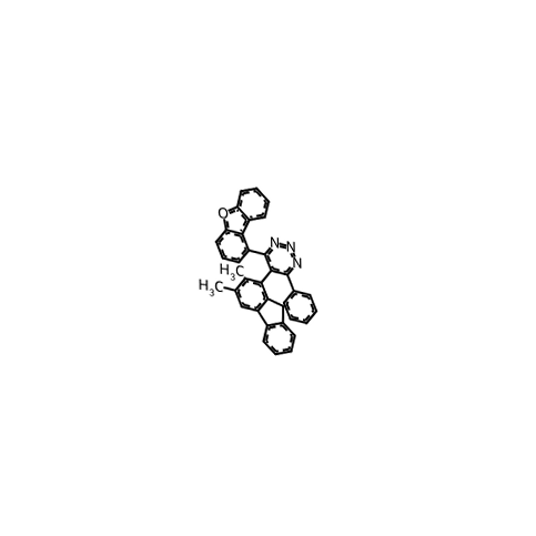 Cc1cc2c(c(-c3c(-c4ccccc4)nnnc3-c3cccc4oc5ccccc5c34)c1C)Cc1ccccc1-2